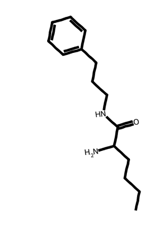 CCCCC(N)C(=O)NCCCc1ccccc1